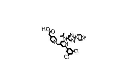 CC(C)N(c1cnc(N2CCN(C)CC2)nc1)c1cc(CN2CCC(CC(=O)O)CC2)cc(-c2cc(Cl)cc(Cl)c2)n1